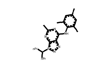 CCCC(CCC)n1nnc2c(Nc3c(C)cc(C)cc3C)nc(C)nc21